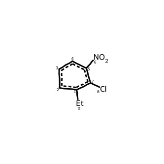 [CH2]Cc1cccc([N+](=O)[O-])c1Cl